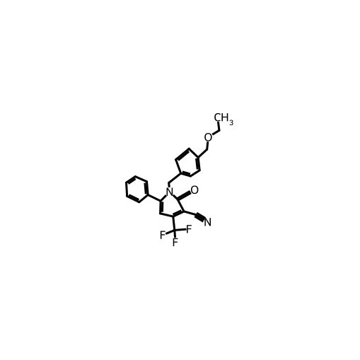 CCOCc1ccc(Cn2c(-c3ccccc3)cc(C(F)(F)F)c(C#N)c2=O)cc1